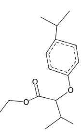 CCOC(=O)C(Oc1ccc(C(C)C)cc1)C(C)C